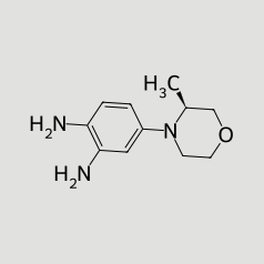 C[C@H]1COCCN1c1ccc(N)c(N)c1